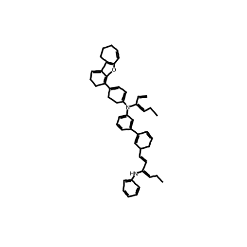 C=C/C(=C\CC)N(C1=CC=C(C2=c3oc4c(c3=CCC2)CCCC=C4)CC1)c1cccc(C2=CC(/C=C/C(=C\CC)Nc3ccccc3)CC=C2)c1